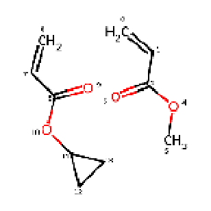 C=CC(=O)OC.C=CC(=O)OC1CC1